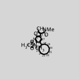 CNC(=O)c1c(C)oc2cc(N(C)S(C)(=O)=O)c(C3CCCCCCCCC3)cc12